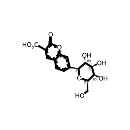 O=C(O)c1cc2ccc([C@@H]3O[C@H](CO)[C@H](O)[C@H](O)[C@H]3O)cc2oc1=O